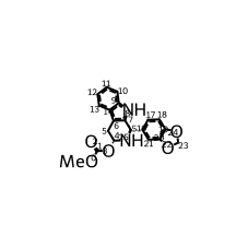 COC(=O)O[C@@H]1Cc2c([nH]c3ccccc23)[C@H](c2ccc3c(c2)OCO3)N1